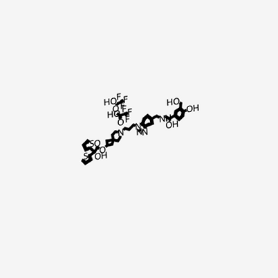 O=C(O)C(F)(F)F.O=C(O)C(F)(F)F.O=C(OC1CC2(CCN(CCCn3nnc4cc(CNC[C@H](O)c5ccc(O)c(CO)c5)ccc43)CC2)C1)C(O)(c1cccs1)c1cccs1